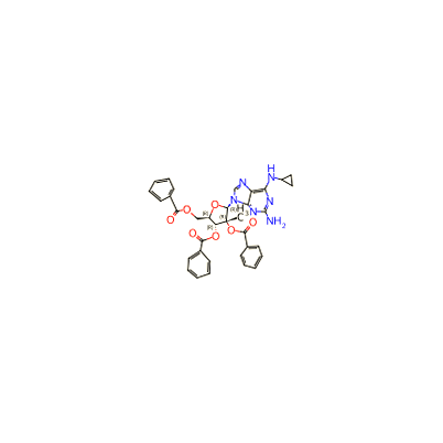 C[C@@]1(OC(=O)c2ccccc2)[C@H](OC(=O)c2ccccc2)[C@@H](COC(=O)c2ccccc2)O[C@H]1n1cnc2c(NC3CC3)nc(N)nc21